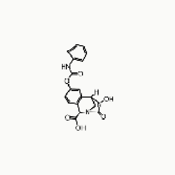 O=C(Nc1ccccc1)Oc1ccc2c(c1)[C@H]1CN(C(=O)N1O)[C@H]2C(=O)O